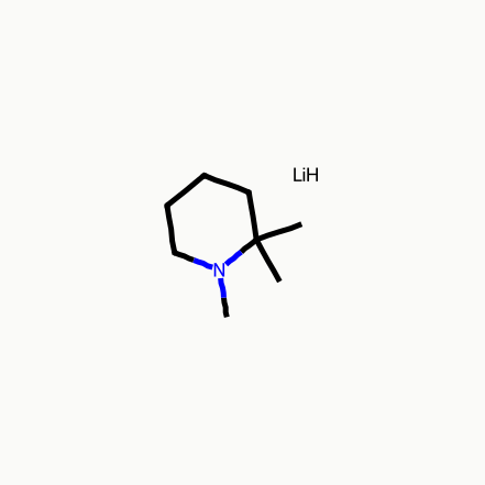 CN1CCCCC1(C)C.[LiH]